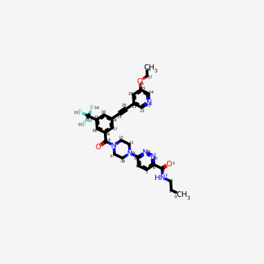 CCCNC(=O)c1ccc(N2CCN(C(=O)c3cc(C#Cc4cncc(OCC)c4)cc(C(F)(F)F)c3)CC2)nn1